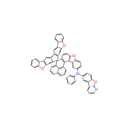 c1ccc(N(c2ccc3oc4ncccc4c3c2)c2ccc3oc4ccc5c(c4c3c2)-c2cccc3cccc(c23)C52c3cc4oc5ccccc5c4cc3-c3cc4c(cc32)oc2ccccc24)cc1